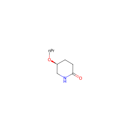 CCCO[C@H]1CCC(=O)NC1